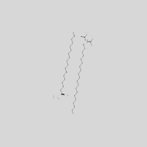 CCCCCCCCCCCCCCCCCC(=O)O.CCCCCCCCCCCCCCCCCCCCN(C(C)C)C(C)C